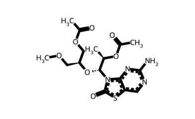 COC[C@@H](COC(C)=O)O[C@H]([C@@H](C)OC(C)=O)n1c(=O)sc2cnc(N)nc21